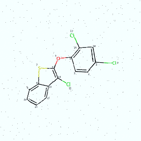 Clc1ccc(Oc2sc3ccccc3c2Cl)c(Cl)c1